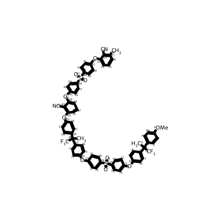 COc1ccc(C(C)(c2ccc(Oc3ccc(S(=O)(=O)c4ccc(Oc5ccc(C(C)(c6ccc(Oc7cccc(Oc8ccc(S(=O)(=O)c9ccc(Oc%10cccc(C)c%10C#N)cc9)cc8)c7C#N)cc6)C(F)(F)F)cc5)cc4)cc3)cc2)C(F)(F)F)cc1